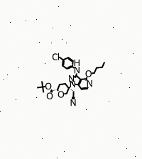 CCCCOc1nccc2c1c(Nc1ccc(Cl)cc1)nn2[C@]1(CC#N)CC[C@@H](C(=O)OC(C)(C)C)OC1